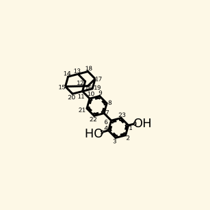 Oc1ccc(O)c(-c2ccc(C34CC5CC(CC(C5)C3)C4)cc2)c1